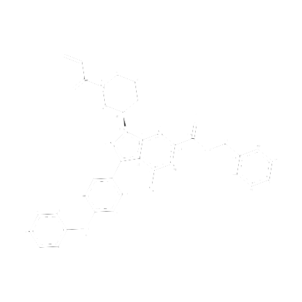 C=CC(=O)N1CCC[C@@H](n2nc(-c3ccc(Oc4ccccc4)cc3)c3c(N)nc(C(=O)OCc4ccccc4)nc32)C1